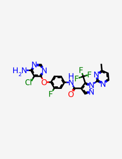 Cc1ccnc(-n2ncc(C(=O)Nc3ccc(Oc4ncnc(N)c4Cl)c(F)c3)c2C(F)(F)F)n1